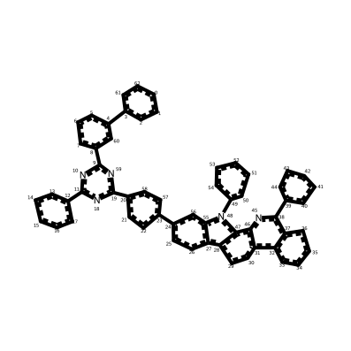 c1ccc(-c2cccc(-c3nc(-c4ccccc4)nc(-c4ccc(-c5ccc6c7ccc8c9ccccc9c(-c9ccccc9)nc8c7n(-c7ccccc7)c6c5)cc4)n3)c2)cc1